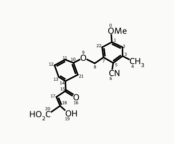 COc1cc(C)c(C#N)c(COc2cccc(C(=O)/C=C(\O)C(=O)O)c2)c1